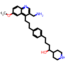 COc1ccc2ncc(CN)c(CCCc3ccc(CCCC(O)C4CCNCC4)cc3)c2c1